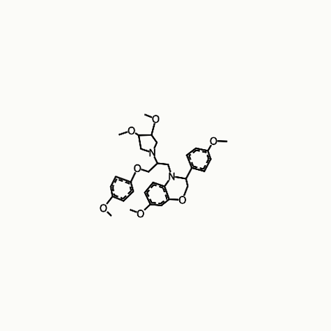 COc1ccc(OCC(CN2c3ccc(OC)cc3OCC2c2ccc(OC)cc2)N2CC(OC)C(OC)C2)cc1